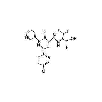 O=C(NC(C(O)F)C(F)F)c1cc(-c2ccc(Cl)cc2)nn(-c2cccnc2)c1=O